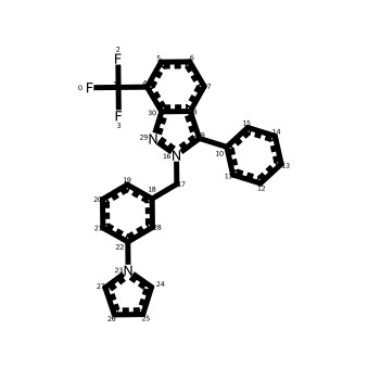 FC(F)(F)c1cccc2c(-c3ccccc3)n(Cc3cccc(-n4cccc4)c3)nc12